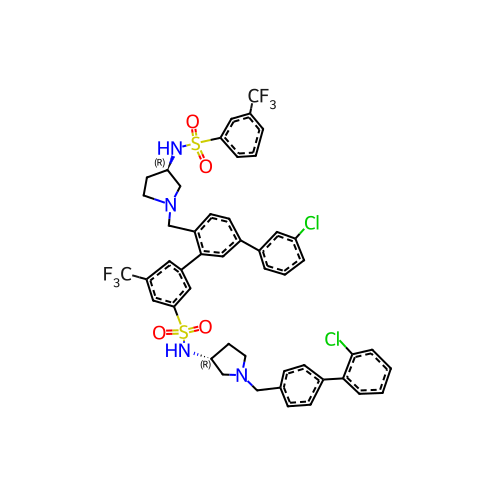 O=S(=O)(N[C@@H]1CCN(Cc2ccc(-c3ccccc3Cl)cc2)C1)c1cc(-c2cc(-c3cccc(Cl)c3)ccc2CN2CC[C@@H](NS(=O)(=O)c3cccc(C(F)(F)F)c3)C2)cc(C(F)(F)F)c1